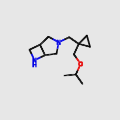 CC(C)OCC1(CN2CC3CNC3C2)CC1